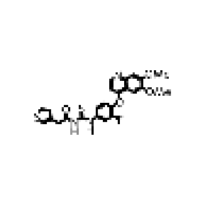 COc1cc2nccc(Oc3ccc(NC(=S)NC(=O)CC4=CSCC4)cc3F)c2cc1OC